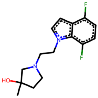 CC1(O)CCN(CCn2ccc3c(F)ccc(F)c32)C1